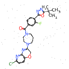 CC(C)(C)c1nnc(-c2ccc(C(=O)N3CCCN(C4=Nc5nc(Cl)ccc5OC4)CC3)cc2F)o1